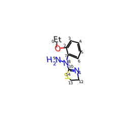 CCOc1ccccc1N(N)C1=NCCS1